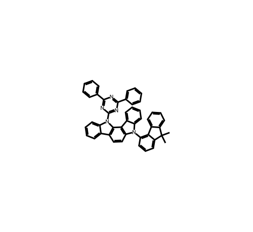 CC1(C)c2ccccc2-c2c(-n3c4ccccc4c4c3ccc3c5ccccc5n(-c5nc(-c6ccccc6)nc(-c6ccccc6)n5)c34)cccc21